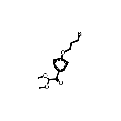 COC(OC)C(=O)c1ccc(OCCCBr)cc1